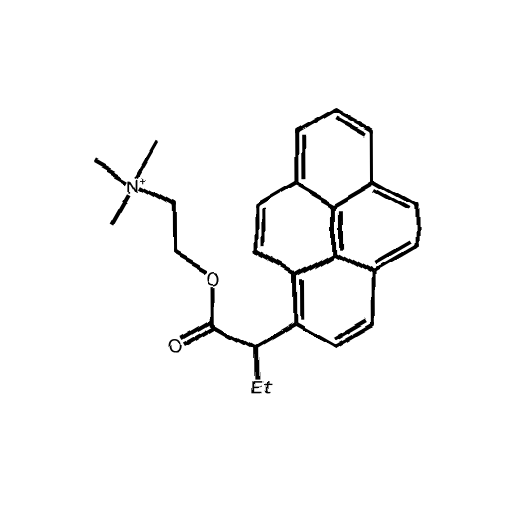 CCC(C(=O)OCC[N+](C)(C)C)c1ccc2ccc3cccc4ccc1c2c34